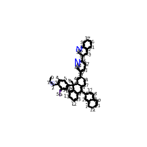 C/C=C\c1ccc(C2(C)c3ccccc3C(c3ccc4ccccc4c3)=C3C=CC(c4ccc(-c5cnc6ccccc6c5)nc4)=CC32)cc1I